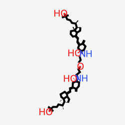 C=C1CC[C@](O)(NCCCOCCCN[C@@]2(O)CCC(=C)/C(=C\C=C3CCC[C@@]4(C)C3CC[C@@H]4[C@H](C)CCCC(C)(C)O)C2)C/C1=C/C=C1CCC[C@@]2(C)C1CC[C@@H]2[C@H](C)CCCC(C)(C)O